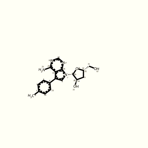 Cc1ccc(-c2cn([C@@H]3O[C@H](CO)C[C@H]3O)c3ncnc(N)c23)cc1